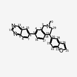 CN1Cc2cc(-c3ccc4ncncc4c3)ccc2C(c2ccc3occc3c2)C1